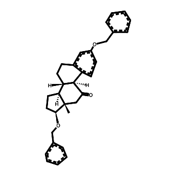 C[C@]12CC(=O)[C@@H]3c4ccc(OCc5ccccc5)cc4CC[C@H]3[C@@H]1CC[C@@H]2OCc1ccccc1